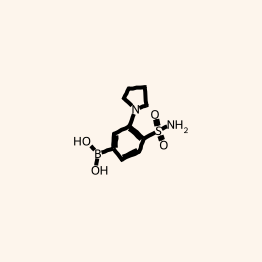 NS(=O)(=O)c1ccc(B(O)O)cc1N1CCCC1